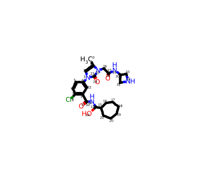 Cc1cn(-c2ccc(Cl)c(C(=O)NC(O)C3CCCCCC3)c2)c(=O)n1CC(=O)NC1CNC1